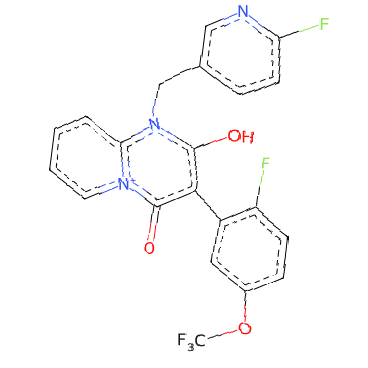 O=c1c(-c2cc(OC(F)(F)F)ccc2F)c(O)n(Cc2ccc(F)nc2)c2cccc[n+]12